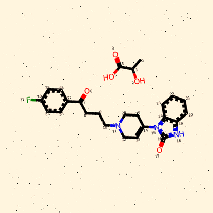 CC(O)C(=O)O.O=C(CCCN1CC=C(n2c(=O)[nH]c3ccccc32)CC1)c1ccc(F)cc1